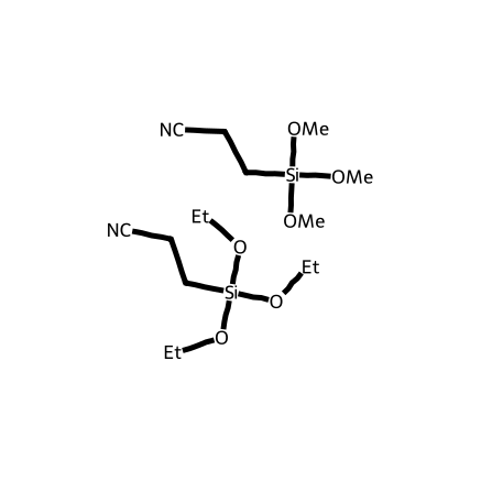 CCO[Si](CCC#N)(OCC)OCC.CO[Si](CCC#N)(OC)OC